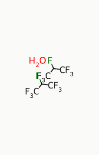 FC(C(F)(F)F)C(F)(F)F.FC(C(F)(F)F)C(F)(F)F.O